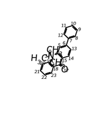 C[N+](C)(C)c1cc(-c2ccccc2)ccc1C(=O)c1ccccc1